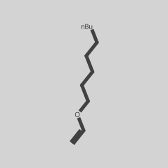 C=COCCCCCCCCC